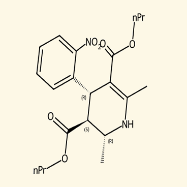 CCCOC(=O)C1=C(C)N[C@H](C)[C@@H](C(=O)OCCC)[C@@H]1c1ccccc1[N+](=O)[O-]